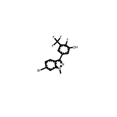 Cn1nc(-c2cc(O)c(F)c(C(F)(F)F)c2)c2ccc(Br)cc21